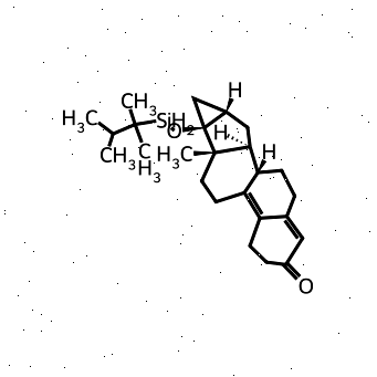 CC(C)C(C)(C)[SiH2]O[C@@]12C[C@@H]1C[C@H]1[C@@H]3CCC4=CC(=O)CCC4=C3CC[C@@]12C